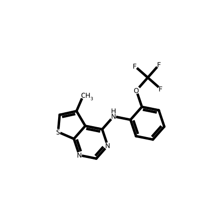 Cc1csc2ncnc(Nc3ccccc3OC(F)(F)F)c12